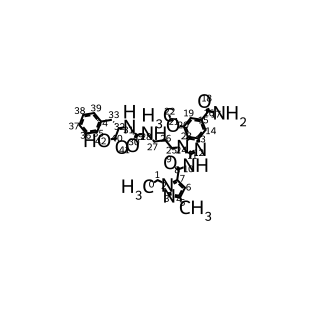 CCn1nc(C)cc1C(=O)Nc1nc2cc(C(N)=O)cc(OC)c2n1CCCNC(=O)N[C@@H](Cc1ccccc1)C(=O)O